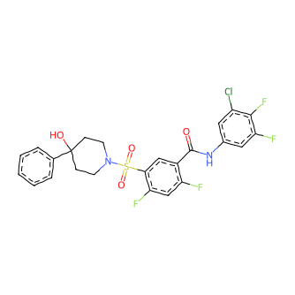 O=C(Nc1cc(F)c(F)c(Cl)c1)c1cc(S(=O)(=O)N2CCC(O)(c3ccccc3)CC2)c(F)cc1F